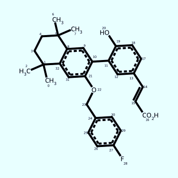 CC1(C)CCC(C)(C)c2cc(-c3cc(C=CC(=O)O)ccc3O)c(OCc3ccc(F)cc3)cc21